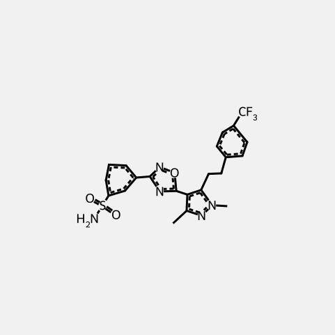 Cc1nn(C)c(CCc2ccc(C(F)(F)F)cc2)c1-c1nc(-c2cccc(S(N)(=O)=O)c2)no1